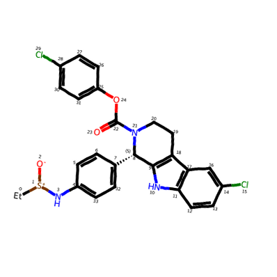 CC[S+]([O-])Nc1ccc([C@H]2c3[nH]c4ccc(Cl)cc4c3CCN2C(=O)Oc2ccc(Cl)cc2)cc1